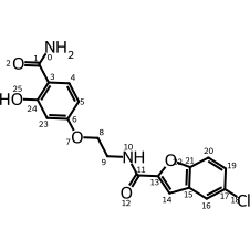 NC(=O)c1ccc(OCCNC(=O)c2cc3cc(Cl)ccc3o2)cc1O